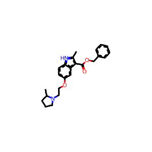 Cc1[nH]c2ccc(OCCN3CCCC3C)cc2c1C(=O)OCc1ccccc1